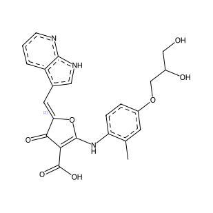 Cc1cc(OCC(O)CO)ccc1NC1=C(C(=O)O)C(=O)/C(=C/c2c[nH]c3ncccc23)O1